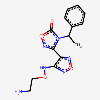 CC(c1ccccc1)n1c(-c2nonc2NOCCN)noc1=O